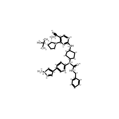 C[C@H]1[C@@H](C(C)(C)O)CCN1c1nc(NC2CCC(N(C(=O)NCc3ccccc3)c3ccc(-c4cnn(C)c4)cn3)CC2)ncc1C#N